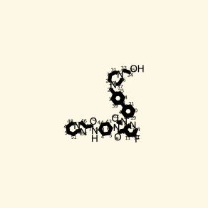 O=C(N[C@H]1CC[C@@H](n2c(=O)c3cc(F)cnc3n(-c3cccc(-c4ccc(CN5CCCN(CCO)CC5)cc4)c3)c2=O)CC1)C1CN2CCCCC2=N1